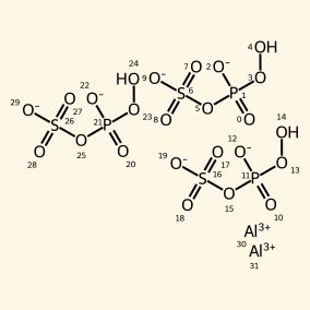 O=P([O-])(OO)OS(=O)(=O)[O-].O=P([O-])(OO)OS(=O)(=O)[O-].O=P([O-])(OO)OS(=O)(=O)[O-].[Al+3].[Al+3]